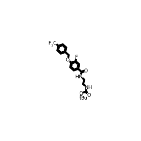 CC(C)(C)OC(=O)NCCNC(=O)c1ccc(OCc2ccc(C(F)(F)F)cc2)c(F)c1